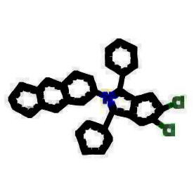 Clc1cc2c(-c3ccccc3)n(-c3ccc4cc5ccccc5cc4c3)c(-c3ccccc3)c2cc1Cl